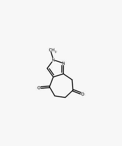 Cn1cc2c(n1)CC(=O)CCC2=O